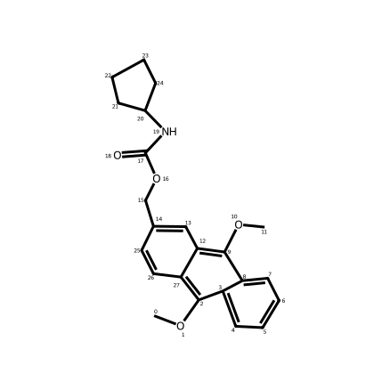 COc1c2ccccc2c(OC)c2cc(COC(=O)NC3CCCC3)ccc12